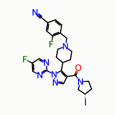 N#Cc1ccc(CN2CCC(c3c(C(=O)N4CC[C@H](I)C4)cnn3-c3ncc(F)cn3)CC2)c(F)c1